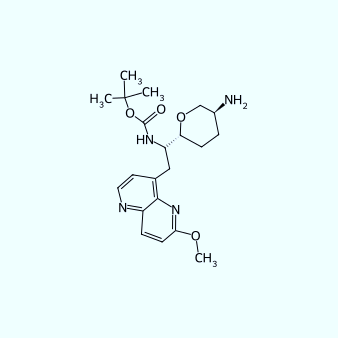 COc1ccc2nccc(CC(NC(=O)OC(C)(C)C)[C@H]3CC[C@H](N)CO3)c2n1